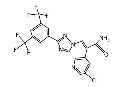 NC(=O)/C(=C/n1cnc(-c2cc(C(F)(F)F)cc(C(F)(F)F)c2)n1)c1cncc(Cl)c1